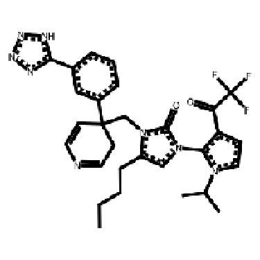 CCCCc1cn(-c2c(C(=O)C(F)(F)F)ccn2C(C)C)c(=O)n1CC1(c2cccc(-c3nnn[nH]3)c2)C=CN=CC1